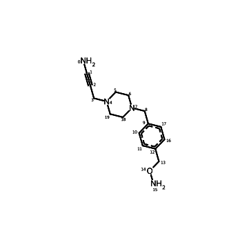 NC#CCN1CCN(Cc2ccc(CON)cc2)CC1